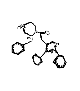 O=C(Cc1cnn(-c2ccccc2)c1-c1ccccc1)N1CCNC[C@H]1Cc1ccccc1